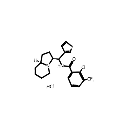 Cl.O=C(NC(c1ccsc1)[C@@H]1CC[C@@H]2CCCCN21)c1cccc(C(F)(F)F)c1Cl